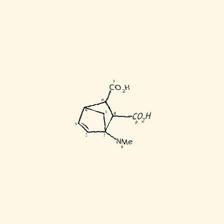 CNC12C=CC(C1)C(C(=O)O)C2C(=O)O